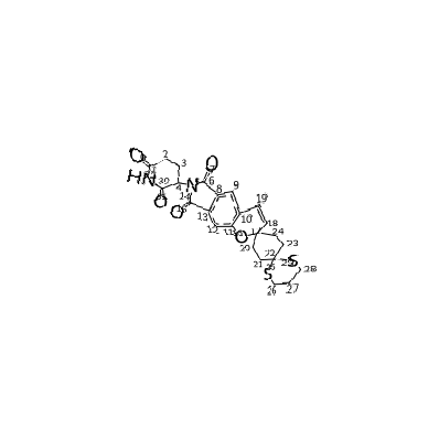 O=C1CCC(N2C(=O)c3cc4c(cc3C2=O)OC2(C=C4)CCC3(CC2)SCCCS3)C(=O)N1